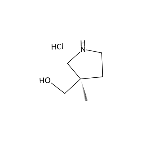 C[C@@]1(CO)CCNC1.Cl